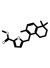 COC(=O)c1ccc(Cc2c(C)ccc3c2CCCC3(C)C)o1